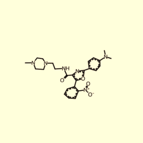 CN1CCN(CCNC(=O)c2nc(-c3ccc(N(C)C)cc3)oc2-c2ccccc2[N+](=O)[O-])CC1